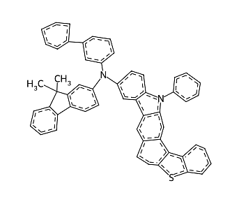 CC1(C)c2ccccc2-c2ccc(N(c3cccc(-c4ccccc4)c3)c3ccc4c(c3)c3cc5ccc6sc7ccccc7c6c5cc3n4-c3ccccc3)cc21